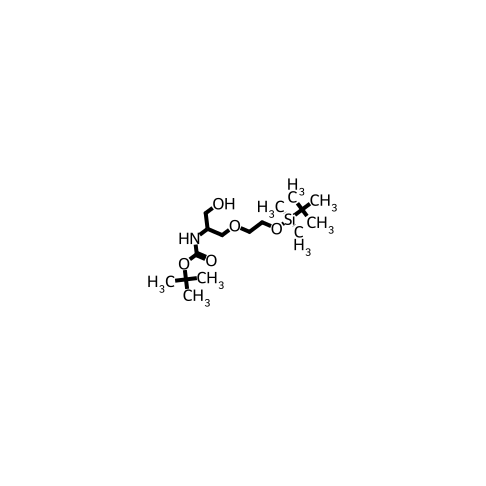 CC(C)(C)OC(=O)NC(CO)COCCO[Si](C)(C)C(C)(C)C